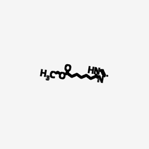 CCOC(=O)CCCCCc1n[c]c[nH]1